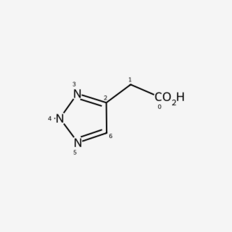 O=C(O)CC1=N[N]N=C1